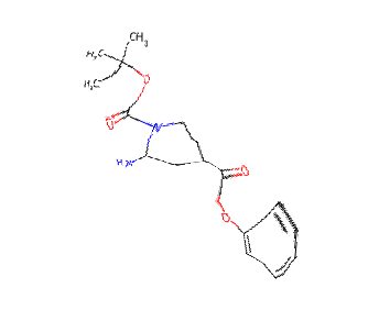 CC(C)(C)OC(=O)N1CCC(C(=O)Oc2ccccc2)CC1N